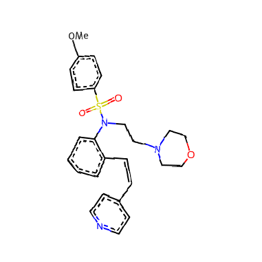 COc1ccc(S(=O)(=O)N(CCN2CCOCC2)c2ccccc2C=Cc2ccncc2)cc1